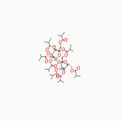 CC(C)C(=O)OC[C@H]1O[C@@](COC(=O)C(C)C)(O[C@H]2O[C@H](COC(=O)C(C)C)[C@@H](OC(=O)C(C)C)[C@H](OC(=O)C(C)C)[C@H]2OC(=O)C(C)C)[C@@H](OC(=O)C(C)C)[C@@H]1OC(=O)C(C)C